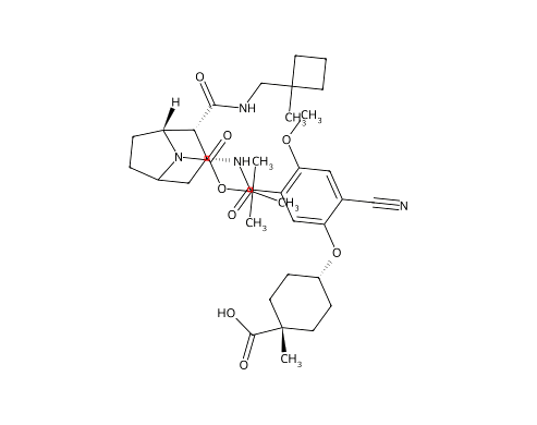 COc1cc(C#N)c(O[C@H]2CC[C@@](C)(C(=O)O)CC2)cc1C(=O)N[C@@H]1CC2CC[C@H]([C@@H]1C(=O)NCC1(C)CCC1)N2C(=O)OC(C)(C)C